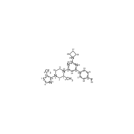 CC1CN(c2ncsc2C(F)(F)F)CCN1c1cc(-c2ccc(F)cc2)nc(N2CCC2)n1